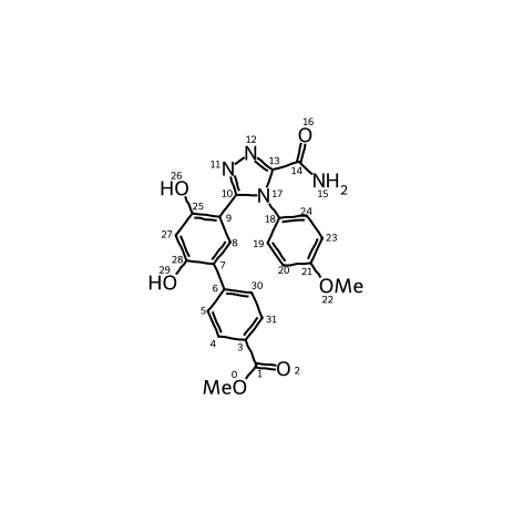 COC(=O)c1ccc(-c2cc(-c3nnc(C(N)=O)n3-c3ccc(OC)cc3)c(O)cc2O)cc1